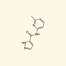 Cc1cccc(NC(=O)c2ccn[nH]2)n1